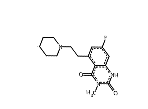 Cn1c(=O)[nH]c2cc(F)cc(CCN3CC[CH]CC3)c2c1=O